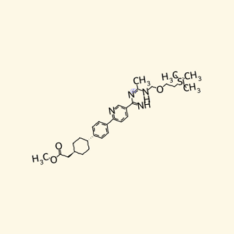 COC(=O)C[C@H]1CC[C@H](c2ccc(-c3ccc(C(=N)/N=C(/C)NCOCC[Si](C)(C)C)cn3)cc2)CC1